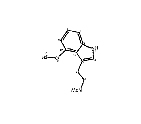 CNCCc1c[nH]c2cccc(OS)c12